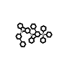 c1ccc(-c2cccc(-n3c4ccccc4c4ccc(-n5c6ccccc6c6cc([Si](c7ccccc7)(c7ccccc7)c7ccccc7)cc(-c7ccccc7)c65)cc43)c2)cc1